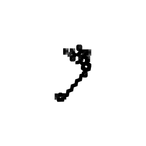 CC1c2cc(OCCCCCCCCn3ccnc3)ccc2N=C2NC(=O)C(C(N)=O)N21